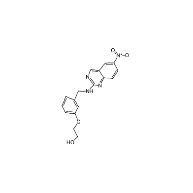 O=[N+]([O-])c1ccc2nc(NCc3cccc(OCCO)c3)ncc2c1